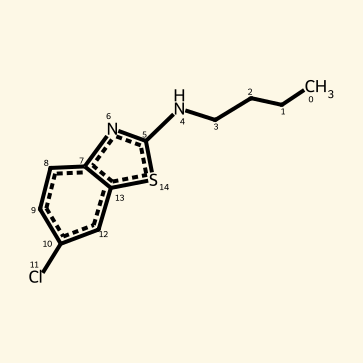 CCCCNc1nc2ccc(Cl)cc2s1